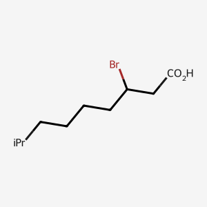 CC(C)CCCCC(Br)CC(=O)O